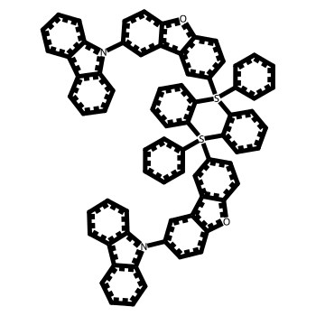 c1ccc(S2(c3ccc4oc5ccc(-n6c7ccccc7c7ccccc76)cc5c4c3)c3ccccc3S(c3ccccc3)(c3ccc4oc5ccc(-n6c7ccccc7c7ccccc76)cc5c4c3)c3ccccc32)cc1